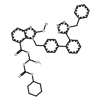 CCOc1nc2cccc(C(=O)OC(C)OC(=O)OC3CCCCC3)c2n1Cc1ccc(-c2ccccc2-c2nnnn2Cc2ccccc2)cc1